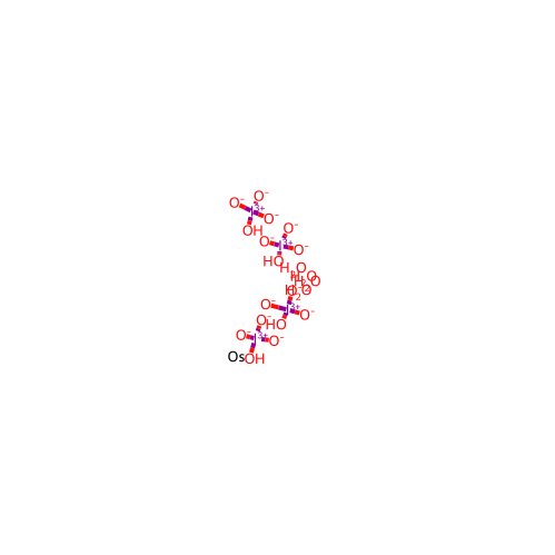 O.O.O.O.[O-][I+3]([O-])([O-])O.[O-][I+3]([O-])([O-])O.[O-][I+3]([O-])([O-])O.[O-][I+3]([O-])([O-])O.[Os]